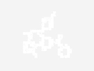 Cc1nnc2n1-c1ccc(C(=O)N3CCOCC3)cc1N(c1ccc(Cl)cc1)CC2C